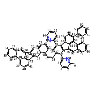 Cc1cccc(-c2c3c(c(-c4ccccn4)c4c2ccc2c5cc6c(cc5ccc24)-c2cc4ccccc4c4cccc-6c24)-c2ccc(-c4ccccc4)c4c2c-3cc2ccccc24)n1